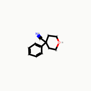 N#CC1(c2ccccc2)CCOCC1